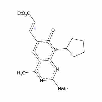 CCOC(=O)/C=C/c1cc2c(C)nc(NC)nc2n(C2CCCC2)c1=O